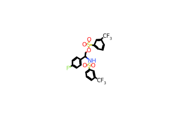 O=S(=O)(NC(COS(=O)(=O)c1cccc(C(F)(F)F)c1)c1ccc(F)cc1)c1cccc(C(F)(F)F)c1